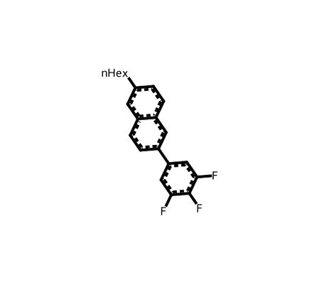 CCCCCCc1ccc2cc(-c3cc(F)c(F)c(F)c3)ccc2c1